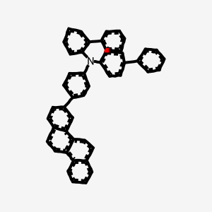 c1ccc(-c2ccc(N(c3ccc(-c4ccc5ccc6c7ccccc7ccc6c5c4)cc3)c3ccccc3-c3ccccc3)cc2)cc1